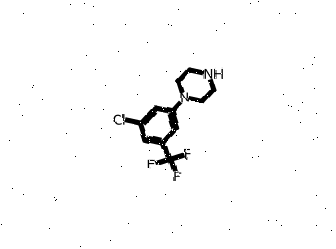 FC(F)(F)c1cc(Cl)cc(N2CCNCC2)c1